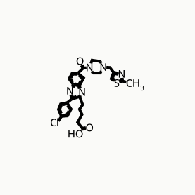 Cc1nc(CN2CCN(C(=O)c3ccc4nc(-c5ccc(Cl)cc5)c(CCCCC(=O)O)nc4c3)CC2)cs1